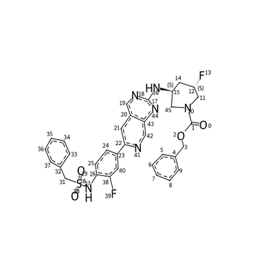 O=C(OCc1ccccc1)N1C[C@@H](F)C[C@H](Nc2ncc3cc(-c4ccc(NS(=O)(=O)Cc5ccccc5)c(F)c4)ncc3n2)C1